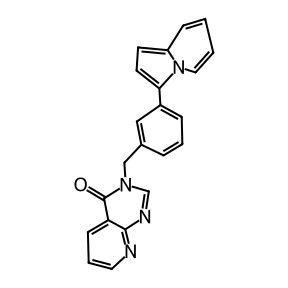 O=c1c2cccnc2ncn1Cc1cccc(-c2ccc3ccccn23)c1